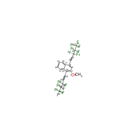 COc1cc(C#CC(F)(F)C(F)(F)C(F)(F)F)c2ccccc2c1C#CC(F)(F)C(F)(F)C(F)(F)F